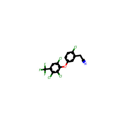 N#CCc1cc(Oc2c(Cl)cc(C(F)(F)F)c(Cl)c2Cl)ccc1Cl